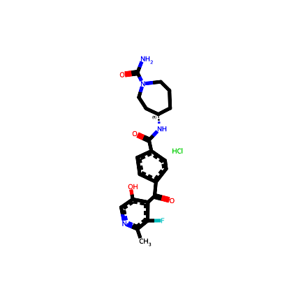 Cc1ncc(O)c(C(=O)c2ccc(C(=O)N[C@@H]3[CH]CN(C(N)=O)CCC3)cc2)c1F.Cl